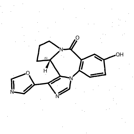 O=C1c2cc(O)ccc2-n2cnc(-c3cnco3)c2[C@@H]2CCCN12